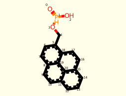 O=[PH](O)OCc1ccc2ccc3cccc4ccc1c2c34